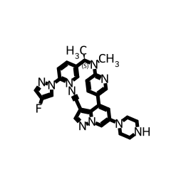 C[C@@H](c1ccc(-n2cc(F)cn2)nc1)N(C)c1ccc(-c2cc(N3CCNCC3)cn3ncc(C#N)c23)cn1